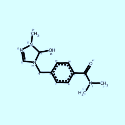 CN(C)C(=O)c1ccc(CN2C=NN(C)C2O)cc1